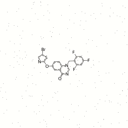 O=c1ncn(Cc2c(F)cc(F)cc2F)c2ccc(Oc3ncc(Br)s3)cc12